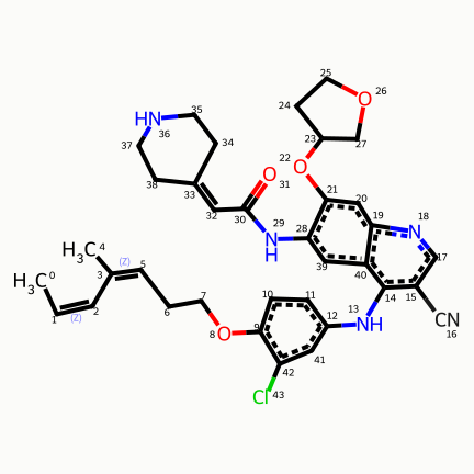 C/C=C\C(C)=C/CCOc1ccc(Nc2c(C#N)cnc3cc(OC4CCOC4)c(NC(=O)C=C4CCNCC4)cc23)cc1Cl